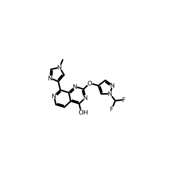 Cn1cnc(-c2nccc3c(O)nc(Oc4cnn(C(F)F)c4)nc23)c1